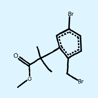 COC(=O)C(C)(C)c1cc(Br)ccc1CBr